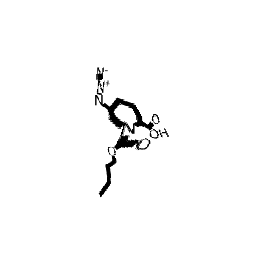 CCCCOC(=O)N1CC(N=[N+]=[N-])CCC1C(=O)O